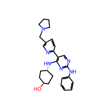 O[C@H]1CC[C@H](Nc2nc(Nc3ccccc3)ncc2-c2ccc(CN3CCCC3)cn2)CC1